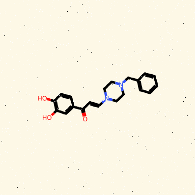 O=C(C=CN1CCN(Cc2ccccc2)CC1)c1ccc(O)c(O)c1